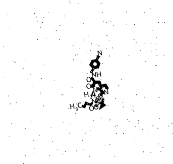 CCCC(=O)NS(=O)(=O)C1(COc2nccc3cc(C(=O)NCc4ccc(C#N)cc4)c(=O)n(C)c23)CC1